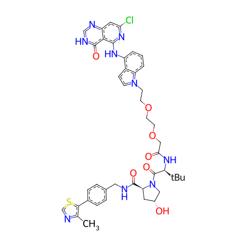 Cc1ncsc1-c1ccc(CNC(=O)[C@@H]2C[C@@H](O)CN2C(=O)[C@@H](NC(=O)COCCOCCn2ccc3c(Nc4nc(Cl)cc5nc[nH]c(=O)c45)cccc32)C(C)(C)C)cc1